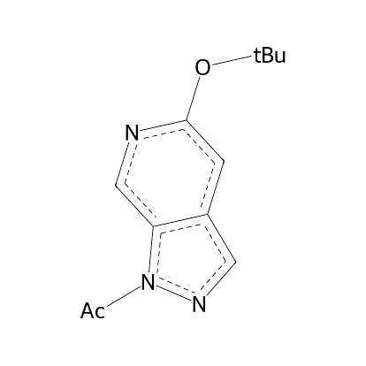 CC(=O)n1ncc2cc(OC(C)(C)C)ncc21